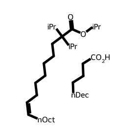 CCCCCCCC/C=C\CCCCCCC(C(=O)OC(C)C)(C(C)C)C(C)C.CCCCCCCCCCCCCC(=O)O